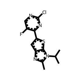 Cc1nc2cc(-c3nc(Cl)ncc3F)sc2n1C(C)C